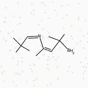 BC(C)(C)/C=C(C)\N=C/C(C)(C)C